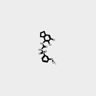 CCc1cc2c(c(NC(=O)NS(=O)(=O)c3cccc(OC(F)(F)F)c3)c1CC)CCC2